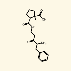 NC(Cc1ccccc1)C(=O)CCNC(=O)N1CCCC1(I)C(=O)O